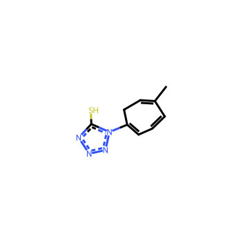 CC1=CCC(n2nnnc2S)=CC=C1